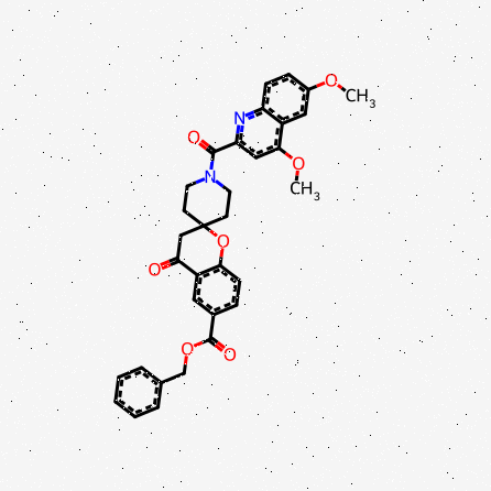 COc1ccc2nc(C(=O)N3CCC4(CC3)CC(=O)c3cc(C(=O)OCc5ccccc5)ccc3O4)cc(OC)c2c1